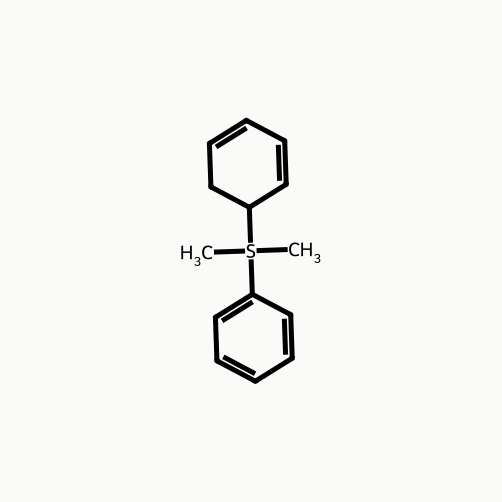 CS(C)(c1ccccc1)C1C=CC=CC1